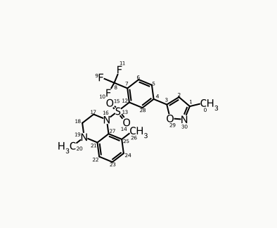 Cc1cc(-c2ccc(C(F)(F)F)c(S(=O)(=O)N3CCN(C)c4cccc(C)c43)c2)on1